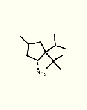 CC1C[C@@H](N)C(C(C)C)(C(C)(C)C)C1